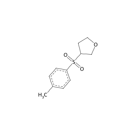 Cc1ccc(S(=O)(=O)C2CCOC2)cc1